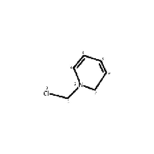 ClCN1C=CC=CC1